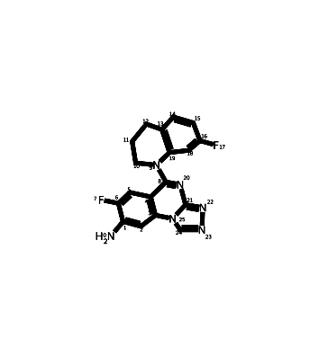 Nc1cc2c(cc1F)c(N1CCCc3ccc(F)cc31)nc1nncn12